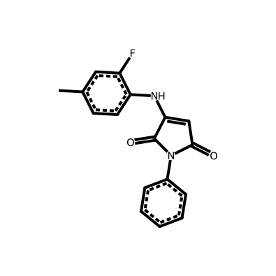 Cc1ccc(NC2=CC(=O)N(c3ccccc3)C2=O)c(F)c1